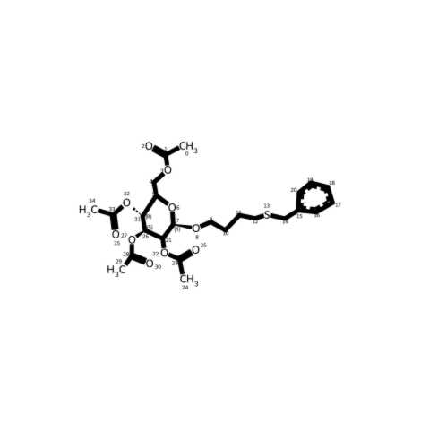 CC(=O)OCC1O[C@@H](OCCCCSCc2ccccc2)C(OC(C)=O)[C@@H](OC(C)=O)[C@@H]1OC(C)=O